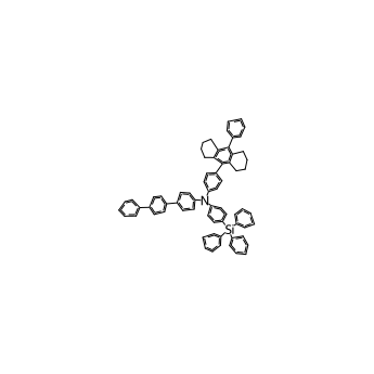 c1ccc(-c2ccc(-c3ccc(N(c4ccc(-c5c6c(c(-c7ccccc7)c7c5CCCC7)CCCC6)cc4)c4ccc([Si](c5ccccc5)(c5ccccc5)c5ccccc5)cc4)cc3)cc2)cc1